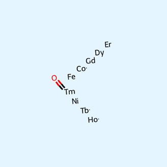 [Co].[Dy].[Er].[Fe].[Gd].[Ho].[Ni].[O]=[Tm].[Tb]